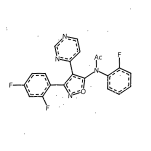 CC(=O)N(c1ccccc1F)c1onc(-c2ccc(F)cc2F)c1-c1ccncn1